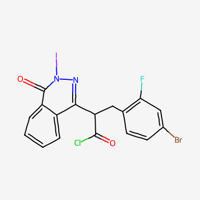 O=C(Cl)C(Cc1ccc(Br)cc1F)c1nn(I)c(=O)c2ccccc12